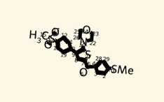 CSc1ccc(C(=O)c2cc(-c3ccc(S(C)(=O)=O)cc3)c(N3CCOCC3)s2)cc1